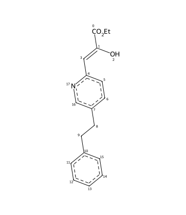 CCOC(=O)C(O)=Cc1ccc(CCc2ccccc2)cn1